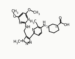 COc1cc(OC)nc(NCc2c(-c3ccc(N[C@H]4CCC[C@H](C(=O)O)C4)c(C)n3)nnn2C)n1